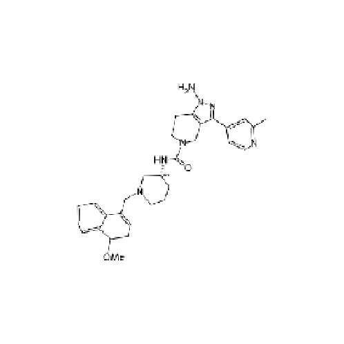 COC1CC=C(CN2CCC[C@@H](NC(=O)N3CCc4c(c(-c5ccnc(C)c5)nn4N)C3)C2)c2ccccc21